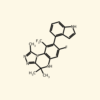 Cc1nnc2n1-c1c(cc(F)c(-c3cccc4[nH]ccc34)c1C(F)(F)F)NC2(C)C